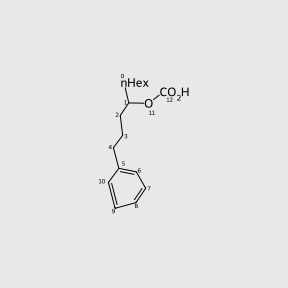 CCCCCCC(CCCc1ccccc1)OC(=O)O